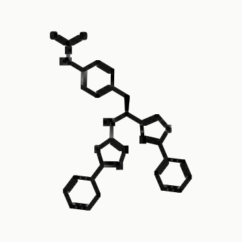 O=[SH](=O)Nc1ccc(C[C@H](Nc2nnc(C3C=CC=CC3)s2)c2csc(-c3ccccc3)n2)cc1